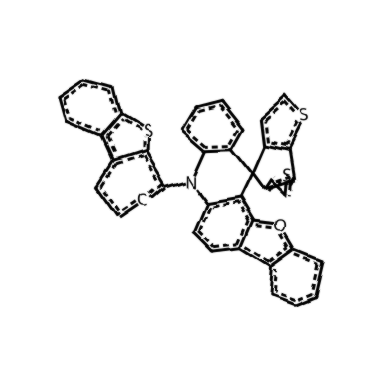 c1ccc2c(c1)N(c1cccc3c1sc1ccccc13)c1ccc3c(oc4ccccc43)c1C21c2ccsc2-c2sccc21